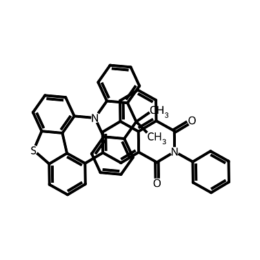 CC1(C)c2ccccc2N(c2cccc3sc4cccc(-c5cc6c7c(cccc7c5)C(=O)N(c5ccccc5)C6=O)c4c23)c2ccccc21